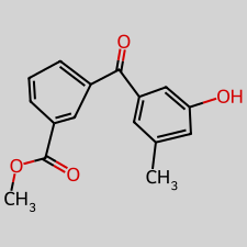 COC(=O)c1cccc(C(=O)c2cc(C)cc(O)c2)c1